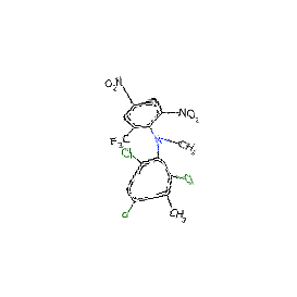 Cc1c(Cl)cc(Cl)c(N(C)c2c([N+](=O)[O-])cc([N+](=O)[O-])cc2C(F)(F)F)c1Cl